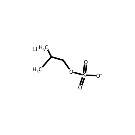 CC(C)COS(=O)(=O)[O-].[Li+]